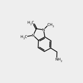 C=C1N(C)c2ccc(CN)cc2N1C